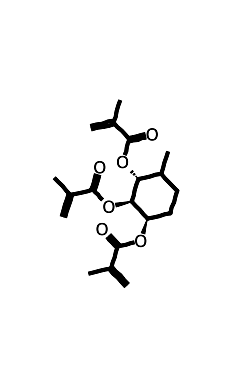 C=C(C)C(=O)O[C@H]1[C@H](OC(=O)C(=C)C)C(C)CC[C@H]1OC(=O)C(=C)C